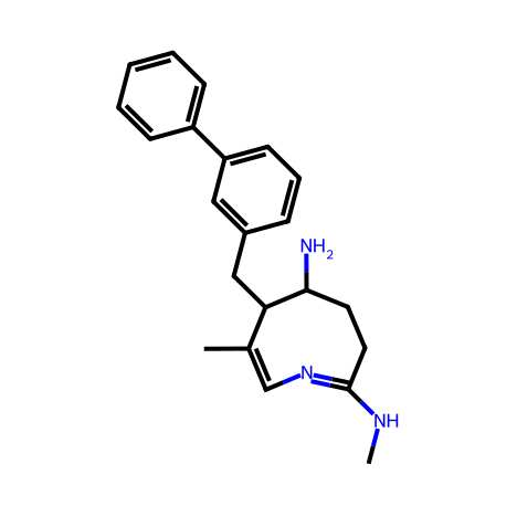 CN/C1=N\C=C(\C)C(Cc2cccc(-c3ccccc3)c2)C(N)CC1